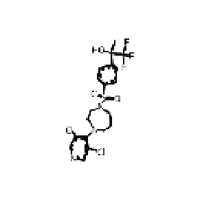 CC(O)(c1ccc(S(=O)(=O)N2CCCN(c3c(Cl)cncc3Cl)CC2)cc1)C(F)(F)F